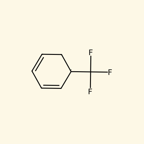 FC(F)(F)[C]1C=CC=CC1